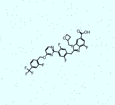 O=C(O)c1cc(F)c2nc(Cc3cc(F)c(-c4nccc(OCc5ccc(C(F)(F)F)cc5F)n4)cc3F)n(CC3CCO3)c2c1